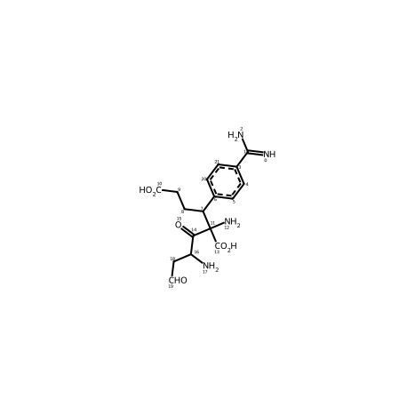 N=C(N)c1ccc(C(CCC(=O)O)C(N)(C(=O)O)C(=O)C(N)CC=O)cc1